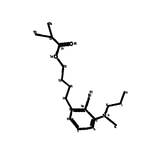 CCCN(C)c1cccc(CCCCOC(=O)C(C)C)c1F